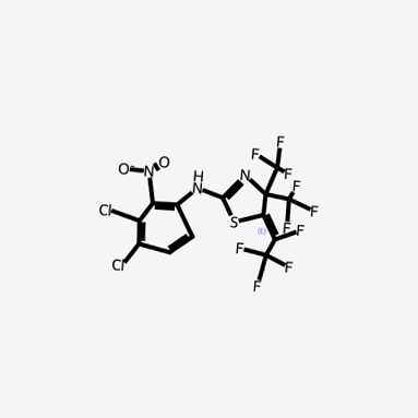 O=[N+]([O-])c1c(NC2=NC(C(F)(F)F)(C(F)(F)F)/C(=C(\F)C(F)(F)F)S2)ccc(Cl)c1Cl